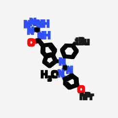 CCCOc1ccc2c(c1)nc(N(C1CCc3cc(C(=O)Nc4nnn[nH]4)ccc31)[C@H]1CC[C@H](C(C)(C)C)CC1)n2C